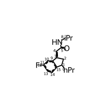 CCCC1C/C(=C\C(=O)NC(C)C)c2cc(F)ccc21